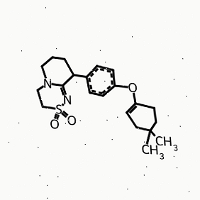 CC1(C)CC=C(Oc2ccc(C3CCCN4CCS(=O)(=O)N=C34)cc2)CC1